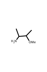 COC(C)C(C)N